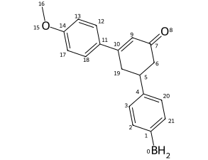 Bc1ccc(C2CC(=O)C=C(c3ccc(OC)cc3)C2)cc1